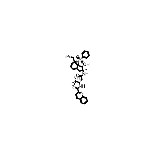 CC(C)CCN(C[C@@H](O)[C@](C)(Cc1ccccc1)NC(=O)C[C@H](NC(=O)c1ccc2ccccc2n1)C(N)=O)S(=O)(=O)c1ccccc1